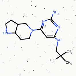 CC(C)(C)CNc1cc(N2CCC3NCCC3C2)nc(N)n1